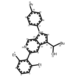 CCc1cccc(CC)c1-c1cc2c(C(O)C(C)CC)cn(-c3ccc(C(C)C)cc3)c2cn1